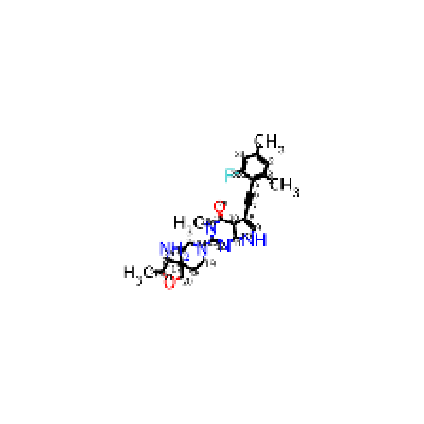 Cc1cc(C)c(C#CC2=CNC3N=C(N4CCC5(CC4)CO[C@@H](C)[C@H]5N)N(C)C(=O)C23)c(F)c1